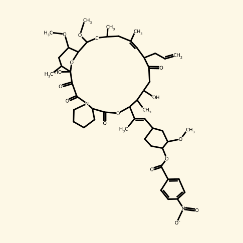 C=CCC1C=C(C)CC(C)CC(OC)C2OC(O)(C(=O)C(=O)N3CCCCC3C(=O)OC(C(C)=CC3CCC(OC(=O)c4ccc([N+](=O)[O-])cc4)C(OC)C3)C(C)C(O)CC1=O)C(C)CC2OC